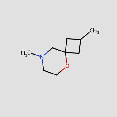 CC1CC2(C1)CN(C)CCO2